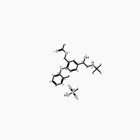 CC(=O)OCc1cc(C(O)CNC(C)(C)C)ccc1Oc1ccccc1C.CS(=O)(=O)O